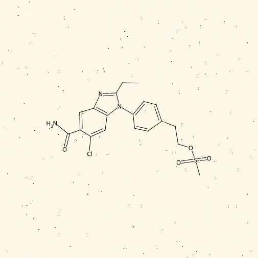 CCc1nc2cc(C(N)=O)c(Cl)cc2n1-c1ccc(CCOS(C)(=O)=O)cc1